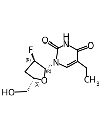 CCc1cn([C@@H]2O[C@H](CO)C[C@H]2F)c(=O)[nH]c1=O